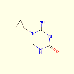 N=C1NC(=O)NCN1C1CC1